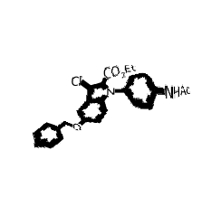 CCOC(=O)c1c(Cl)c2cc(OCc3ccccc3)ccc2n1-c1ccc(NC(C)=O)cc1